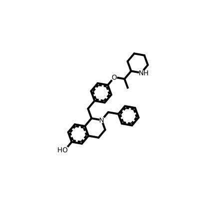 CC(Oc1ccc(CC2c3ccc(O)cc3CCN2Cc2ccccc2)cc1)C1CCCCN1